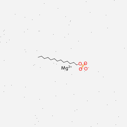 CCCCCCCCCCCCCOP(=O)([O-])[O-].[Mg+2]